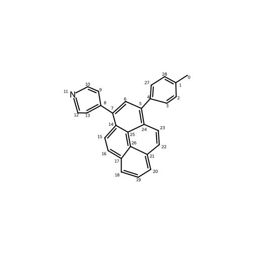 Cc1ccc(-c2cc(-c3ccncc3)c3ccc4cccc5ccc2c3c45)cc1